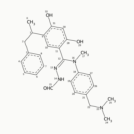 CC(Cc1ccccc1)c1cc(/C(=N/NC=O)N(C)c2ccc(CN(C)C)cc2)c(O)cc1O